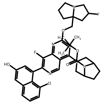 CC(C)(C)OC(=O)N1C2CCC1CN(c1nc(OCC34CCCN3CC(F)C4)nc3c(F)c(-c4cc(O)cc5cccc(Cl)c45)ncc13)C2